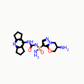 NC1COc2c(S(N)(=O)=NC(=O)Nc3c4c(nc5c3CCC5)CCC4)cnn2C1